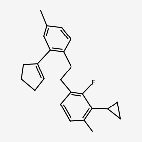 Cc1ccc(CCc2ccc(C)c(C3CC3)c2F)c(C2=CCCC2)c1